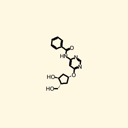 O=C(Nc1cc(O[C@@H]2C[C@H](CO)[C@@H](O)C2)ncn1)c1ccccc1